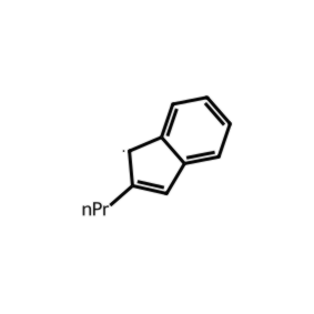 CCCC1=Cc2ccccc2[CH]1